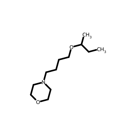 CCC(C)OCCCCN1CCOCC1